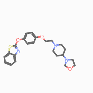 c1ccc2sc(Oc3ccc(OCCN4CCC(N5CCOC5)CC4)cc3)nc2c1